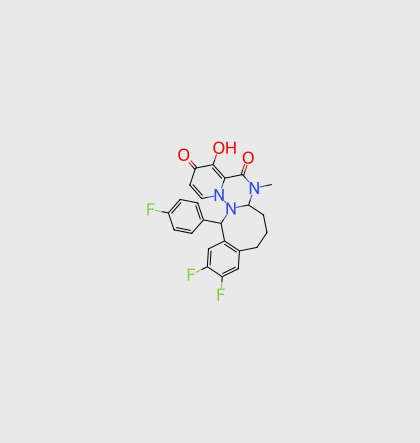 CN1C(=O)c2c(O)c(=O)ccn2N2C(c3ccc(F)cc3)c3cc(F)c(F)cc3CCCC12